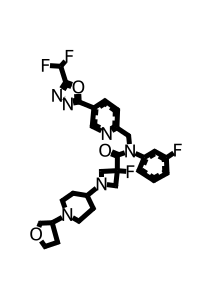 O=C(N(Cc1ccc(-c2nnc(C(F)F)o2)cn1)c1cccc(F)c1)C1(F)CN(C2CCN(C3CCOC3)CC2)C1